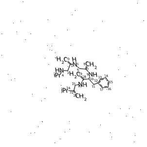 C=C(CNC(C)C)NCC(=C)NC(Cc1ccccc1)C(=C)NCC(=C)C(C)C